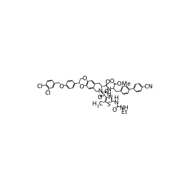 CCNC(=O)Nc1nc(S(=O)(=O)N2Cc3cc4c(cc3C[C@H]2C(=O)NC(Cc2ccc(-c3ccc(C#N)cc3)cc2)C(=O)OC)OC[C@H](c2ccc(OCc3ccc(Cl)c(Cl)c3)cc2)O4)c(C)s1